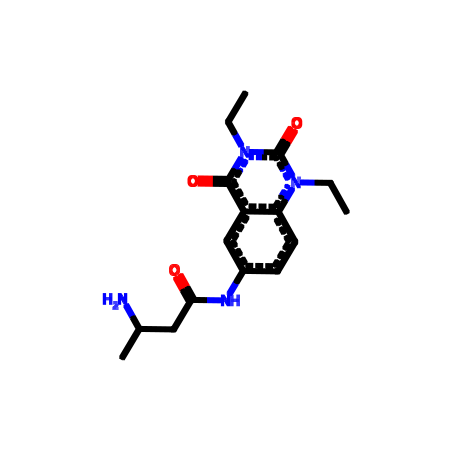 CCn1c(=O)c2cc(NC(=O)CC(C)N)ccc2n(CC)c1=O